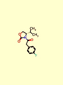 CC(C)[C@H]1COC(=O)N1C(=O)Cc1ccc(F)cc1